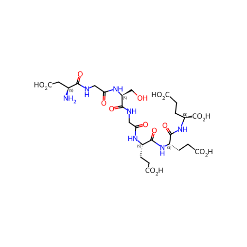 N[C@@H](CC(=O)O)C(=O)NCC(=O)N[C@@H](CO)C(=O)NCC(=O)N[C@@H](CCC(=O)O)C(=O)N[C@@H](CCC(=O)O)C(=O)N[C@@H](CCC(=O)O)C(=O)O